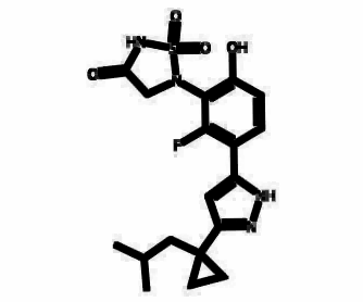 CC(C)CC1(c2cc(-c3ccc(O)c(N4CC(=O)NS4(=O)=O)c3F)[nH]n2)CC1